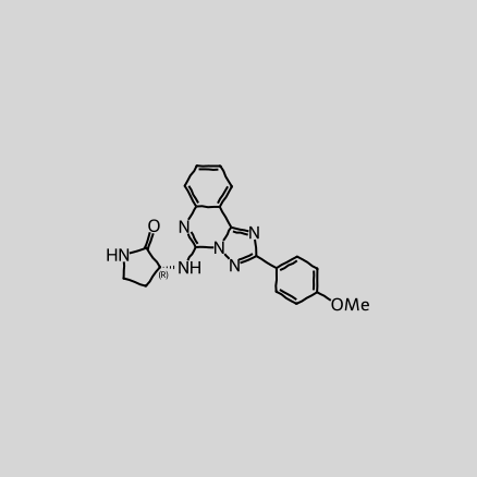 COc1ccc(-c2nc3c4ccccc4nc(N[C@@H]4CCNC4=O)n3n2)cc1